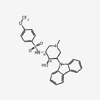 CN1CC(n2c3ccccc3c3ccccc32)[C@@H](O)[C@H](NS(=O)(=O)c2ccc(OC(F)(F)F)cc2)C1